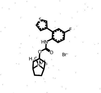 C[N+]1(C)C2CCC1CC(OC(=O)Nc1ccc(F)cc1-c1ccsc1)C2.[Br-]